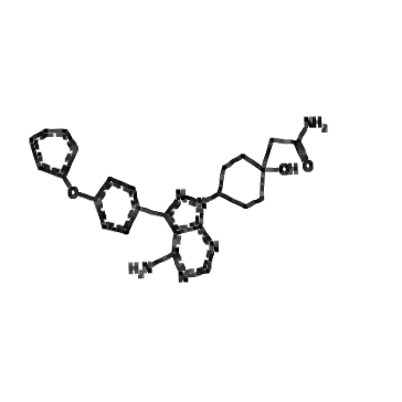 NC(=O)CC1(O)CCC(n2nc(-c3ccc(Oc4ccccc4)cc3)c3c(N)ncnc32)CC1